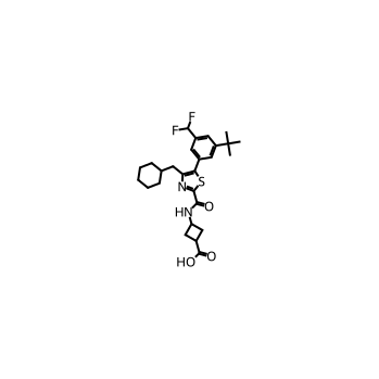 CC(C)(C)c1cc(-c2sc(C(=O)NC3CC(C(=O)O)C3)nc2CC2CCCCC2)cc(C(F)F)c1